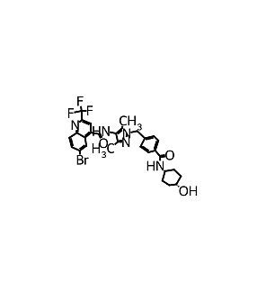 Cc1nn(Cc2ccc(C(=O)N[C@H]3CC[C@@H](O)CC3)cc2)c(C)c1NC(=O)c1cc(C(F)(F)F)nc2ccc(Br)cc12